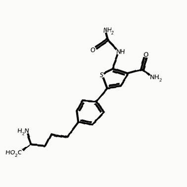 NC(=O)Nc1sc(-c2ccc(CCC[C@H](N)C(=O)O)cc2)cc1C(N)=O